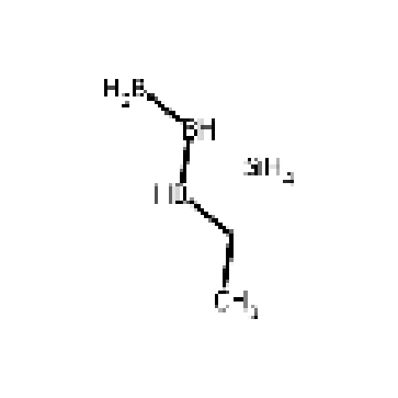 BBBCC.[SiH4]